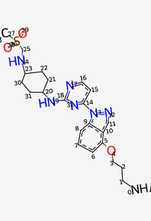 CC(=O)NCCCOc1cccc2c1cnn2-c1ccnc(NC2CCC(NCS(C)(=O)=O)CC2)n1